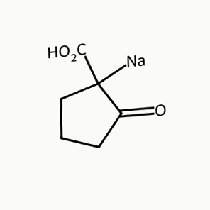 O=C(O)[C]1([Na])CCCC1=O